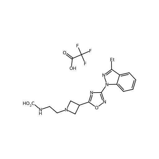 CCc1nn(-c2noc(C3CN(CCNC(=O)O)C3)n2)c2ccccc12.O=C(O)C(F)(F)F